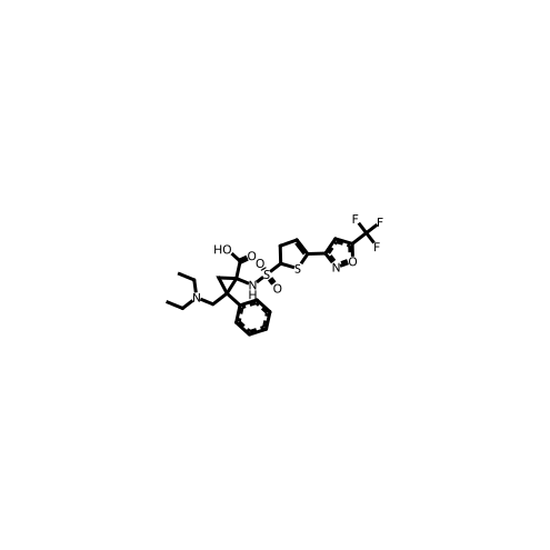 CCN(CC)CC1(c2ccccc2)CC1(NS(=O)(=O)C1CC=C(c2cc(C(F)(F)F)on2)S1)C(=O)O